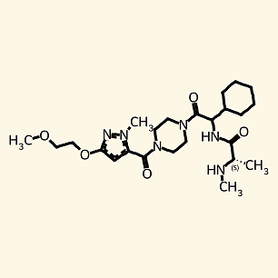 CN[C@@H](C)C(=O)NC(C(=O)N1CCN(C(=O)c2cc(OCCOC)nn2C)CC1)C1CCCCC1